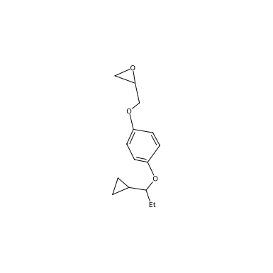 CCC(Oc1ccc(OCC2CO2)cc1)C1CC1